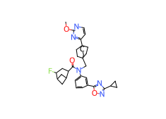 COc1nccc(C23CCC(CN(C(=O)C4CC(F)C5CC4C5)c4cccc(-c5nc(C6CC6)no5)c4)(CC2)CC3)n1